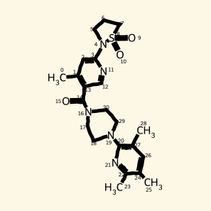 Cc1cc(N2CCCS2(=O)=O)ncc1C(=O)N1CCN(c2nc(C)c(C)cc2C)CC1